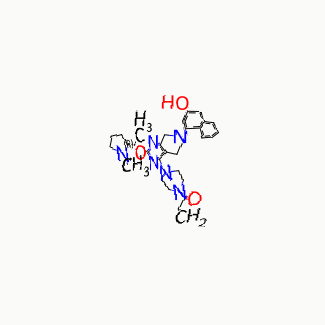 C=CC(=O)N1CCN(c2nc(OC(C)[C@H]3CCCN3C)nc3c2CCN(c2cc(O)cc4ccccc24)C3)CC1